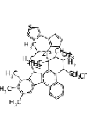 C[C](C)=[Zr+2]([C]1=C(c2ccsc2)C=CC1C)[C]1(C)c2c3c(c4ccccc4c2C(C)C(C)C1C)-c1cc(C)c(C)c(C)c1C3C.[Cl-].[Cl-]